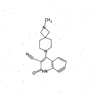 CN1CC2(CCN(c3c(C#N)c(=O)[nH]c4c#cccc34)CC2)C1